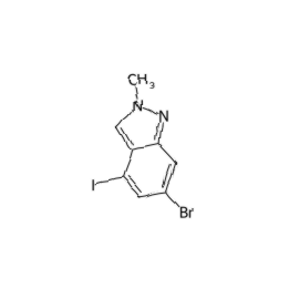 Cn1cc2c(I)cc(Br)cc2n1